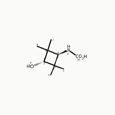 CC1(C)[C@H](O)C(C)(C)[C@H]1NC(=O)O